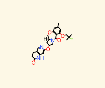 Cc1cc2c(c(OCC(C)(C)F)c1)C(=O)N1C[C@@H](Oc3cc4c(cn3)CCC(=O)N4)C[C@@H]1CO2